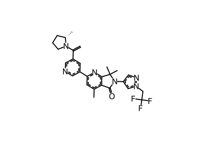 C=C(c1cncc(-c2cc(C)c3c(n2)C(C)(C)N(c2cnn(CC(F)(F)F)c2)C3=O)c1)N1CCC[C@@H]1C